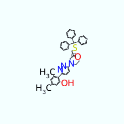 Cc1cc(C)c(-c2ccc(N3CCO[C@H](CSC(c4ccccc4)(c4ccccc4)c4ccccc4)C3)nn2)c(O)c1